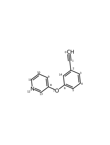 C#Cc1cccc(Oc2cccnc2)c1